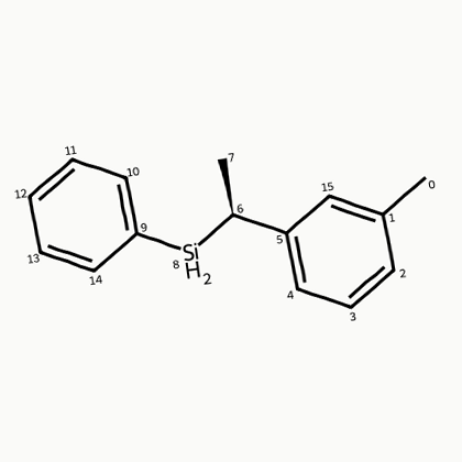 Cc1cccc([C@H](C)[SiH2]c2ccccc2)c1